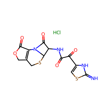 Cl.N=c1[nH]c(C(=O)C(=O)NC2C(=O)N3C4=C(COC4=O)CSC23)cs1